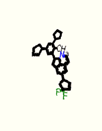 Cc1c(C2=Cc3cc(C4CCC(F)(F)C4)cc4ccnc2c34)cc(C2CCCC2)cc1C1CCCC1